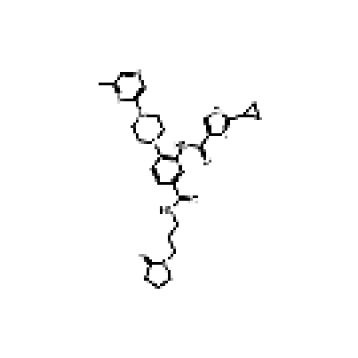 Cc1cncc(N2CCN(c3ccc(C(=O)NCCCN4CCCC4=O)cc3NC(=O)c3coc(C4CC4)n3)CC2)n1